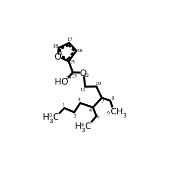 CCCCC(CC)C(CC)CCOC(O)c1ccco1